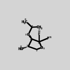 CC(C)O[C@@H]1[C@@H](O)COC1(F)F